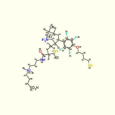 CCC(S)C(C)(CC(C)(C)C(C)(CN)C(CC(C)(CC)C(C)(C)C#N)c1c(F)c(F)c(OCCCCS)c(F)c1F)C(=O)NCCC[N+](C)(C)CCCS(=O)(=O)O